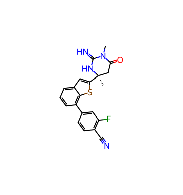 CN1C(=N)N[C@](C)(c2cc3cccc(-c4ccc(C#N)c(F)c4)c3s2)CC1=O